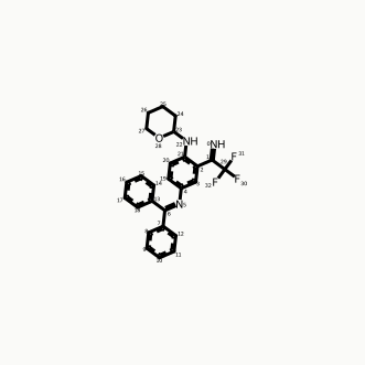 N=C(c1cc(N=C(c2ccccc2)c2ccccc2)ccc1NC1CCCCO1)C(F)(F)F